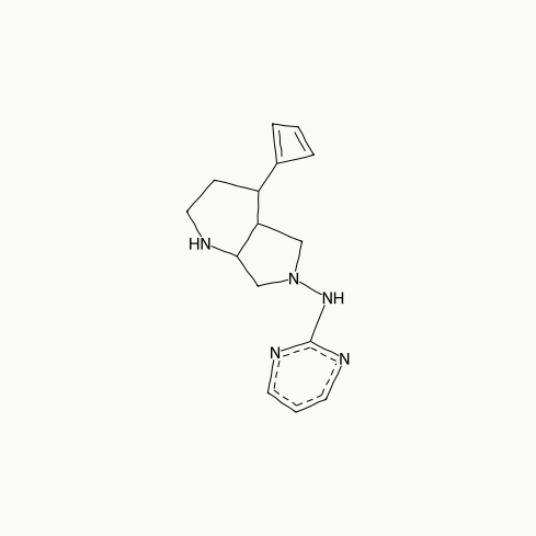 C1=CC(C2CCNC3CN(Nc4ncccn4)CC32)=C1